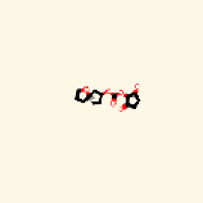 O=C(OC1CC[C@@]2(CCCO2)C1)OC1C(=O)CCC1=O